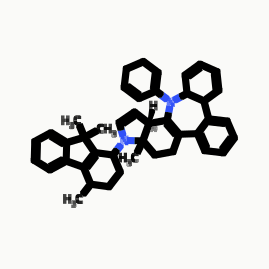 CC1CCC(N2C=C[C@@H]3C4=C(CCC32C)c2ccccc2C2C=CC=CC2N4C2=CCCC=C2)C2=C1c1ccccc1C2(C)C